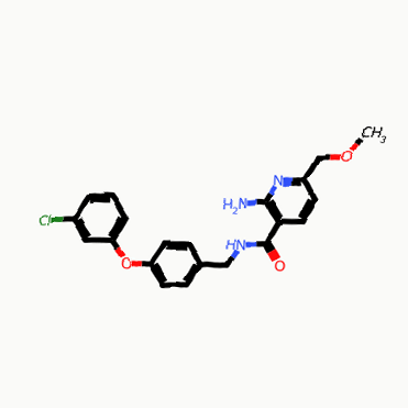 COCc1ccc(C(=O)NCc2ccc(Oc3cccc(Cl)c3)cc2)c(N)n1